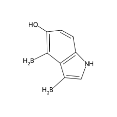 Bc1c[nH]c2ccc(O)c(B)c12